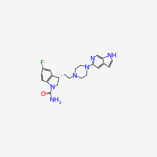 NC(=O)N1C[C@@H](CCN2CCN(c3cc4cc[nH]c4cn3)CC2)c2cc(F)ccc21